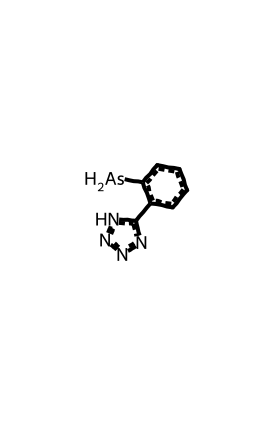 [AsH2]c1ccccc1-c1nnn[nH]1